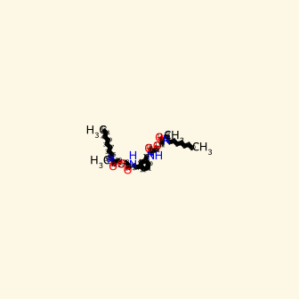 CCCCCCCCN(C)C(=O)COCC(=O)NCc1cccc(CNC(=O)COCC(=O)N(C)CCCCCCCC)c1